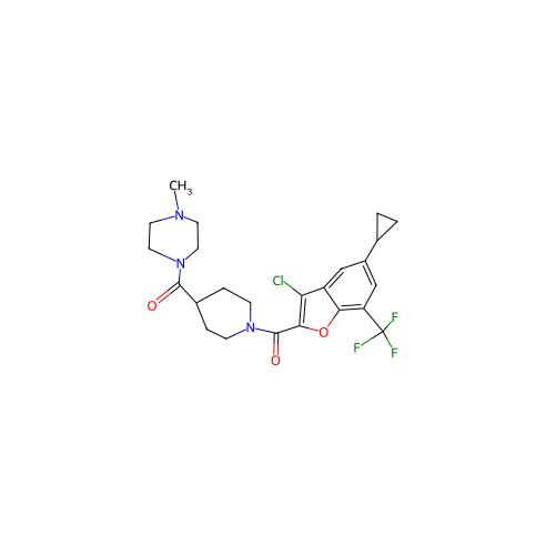 CN1CCN(C(=O)C2CCN(C(=O)c3oc4c(C(F)(F)F)cc(C5CC5)cc4c3Cl)CC2)CC1